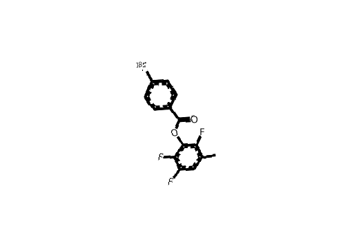 Cc1cc(F)c(F)c(OC(=O)c2ccc([18F])cc2)c1F